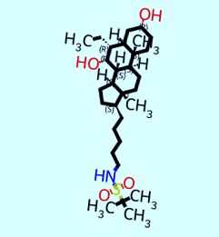 CC[C@H]1[C@@H](O)[C@@H]2[C@H](CC[C@]3(C)[C@@H](CCCCCNS(=O)(=O)C(C)(C)C)CC[C@@H]23)[C@@]2(C)CC[C@@H](O)C[C@@H]12